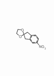 O=[N+]([O-])c1ccc2c(c1)CC1(C2)OCCO1